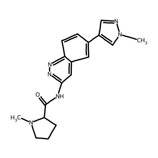 CN1CCCC1C(=O)Nc1cc2cc(-c3cnn(C)c3)ccc2nn1